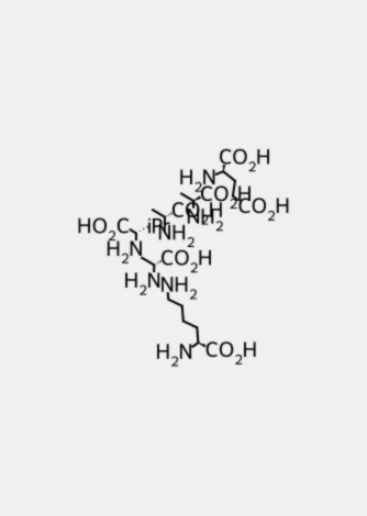 CC(C)[C@H](N)C(=O)O.C[C@@H](N)C(=O)O.C[C@@H](N)C(=O)O.C[C@H](N)C(=O)O.NCCCC[C@H](N)C(=O)O.N[C@H](CCC(=O)O)C(=O)O